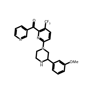 COc1cccc(C2CN(c3ccc(C(F)(F)F)c(C(=O)c4cccnc4)n3)CCN2)c1